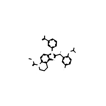 COC(=O)N1c2ccc3c(nc([C@@H](O)c4cc(F)ccc4OC(F)F)n3-c3cccc(C(=O)O)c3)c2CC[C@@H]1C